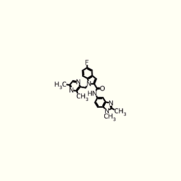 Cc1cnc(Cn2c(C(=O)Nc3ccc4c(c3)nc(C)n4C)cc3cc(F)ccc32)c(C)n1